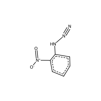 N#[N+]Nc1ccccc1[N+](=O)[O-]